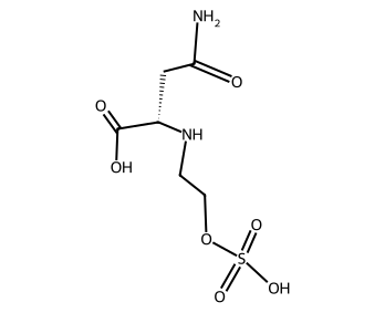 NC(=O)C[C@H](NCCOS(=O)(=O)O)C(=O)O